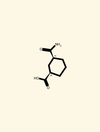 NC(=O)[C@H]1CCC[C@@H](C(=O)O)C1